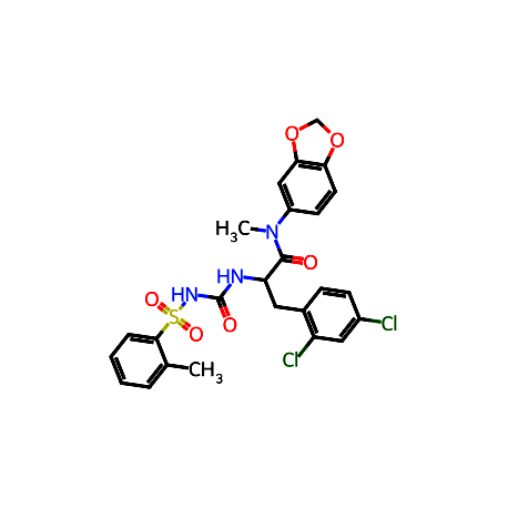 Cc1ccccc1S(=O)(=O)NC(=O)NC(Cc1ccc(Cl)cc1Cl)C(=O)N(C)c1ccc2c(c1)OCO2